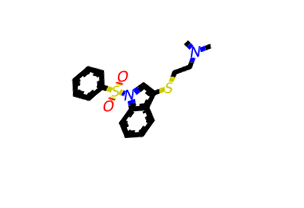 CN(C)CCSc1cn(S(=O)(=O)c2ccccc2)c2ccccc12